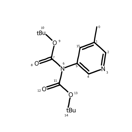 Cc1cncc(N(C(=O)OC(C)(C)C)C(=O)OC(C)(C)C)c1